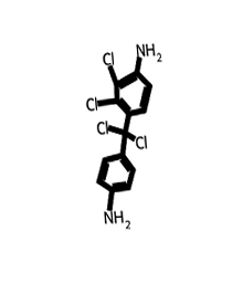 Nc1ccc(C(Cl)(Cl)c2ccc(N)c(Cl)c2Cl)cc1